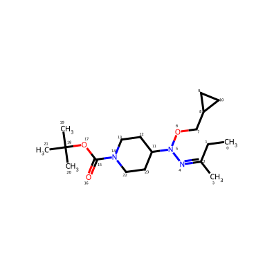 CC/C(C)=N\N(OCC1CC1)C1CCN(C(=O)OC(C)(C)C)CC1